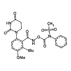 COc1ccc(N2CCC(=O)NC2=O)c(C(=O)NOC(=O)N(c2ccccc2)S(C)(=O)=O)c1C(C)(C)C